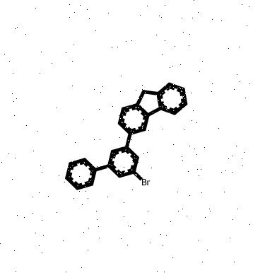 Brc1cc(-c2ccccc2)cc(-c2ccc3c(c2)-c2ccccc2C3)c1